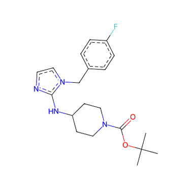 CC(C)(C)OC(=O)N1CCC(Nc2nccn2Cc2ccc(F)cc2)CC1